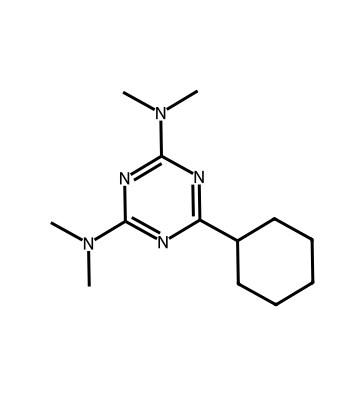 CN(C)c1nc(C2CCCCC2)nc(N(C)C)n1